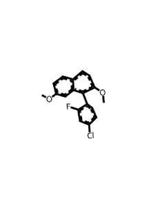 COc1ccc2ccc(OC)c(-c3ccc(Cl)cc3F)c2c1